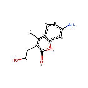 Cc1c(CCO)c(=O)oc2cc(N)ccc12